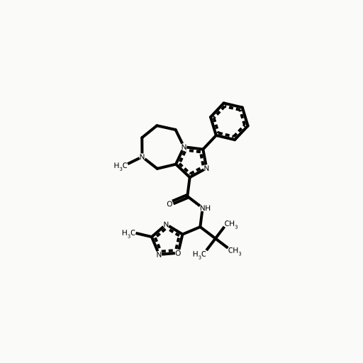 Cc1noc(C(NC(=O)c2nc(-c3ccccc3)n3c2CN(C)CCC3)C(C)(C)C)n1